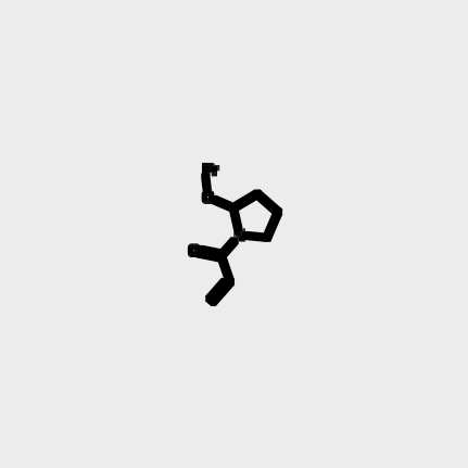 C=CC(=O)N1CCCC1OC(C)C